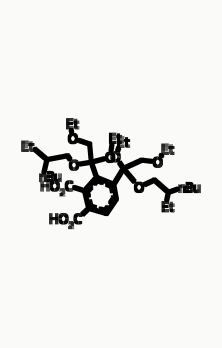 CCCCC(CC)COC(COCC)(OCC)c1ccc(C(=O)O)c(C(=O)O)c1C(COCC)(OCC)OCC(CC)CCCC